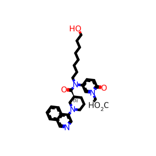 O=C(O)Cn1cc(N(CCCCCCCCO)C(=O)[C@H]2CCCN(c3cncc4ccccc34)C2)ccc1=O